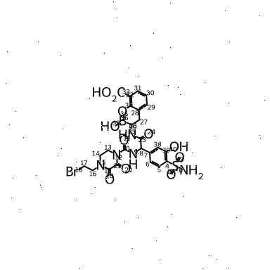 NS(=O)(=O)c1ccc(C(NC(=O)N2CCN(CCBr)C(=O)C2=O)C(=O)N[C@H]2Cc3cccc(C(=O)O)c3OB2O)cc1O